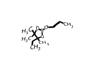 C/C=C/OB1OC(C)(C)C(C)(CC)O1